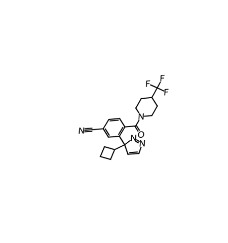 N#Cc1ccc(C(=O)N2CCC(C(F)(F)F)CC2)c(C2(C3CCC3)C=CN=N2)c1